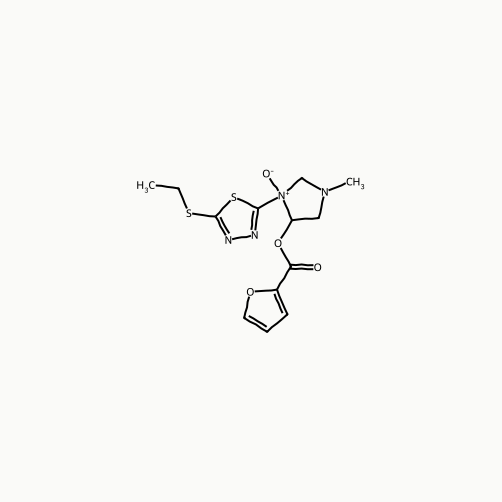 CCSc1nnc([N+]2([O-])CN(C)CC2OC(=O)c2ccco2)s1